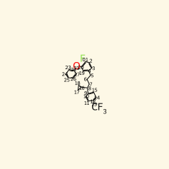 Fc1ccc(CCCC(c2ccc(C(F)(F)F)cc2)C2CC2)cc1Oc1ccccc1